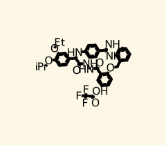 CCOc1cc(C(Nc2ccc(C(=N)N)cc2)C(=O)NNC(=O)c2ccccc2OCc2ccccc2)ccc1OC(C)C.O=C(O)C(F)(F)F